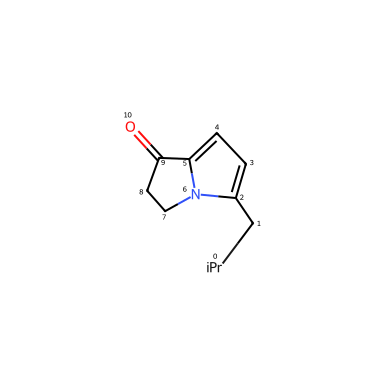 CC(C)Cc1ccc2n1CCC2=O